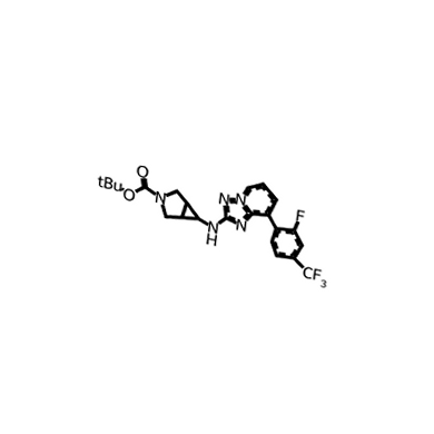 CC(C)(C)OC(=O)N1CC2C(C1)C2Nc1nc2c(-c3ccc(C(F)(F)F)cc3F)cccn2n1